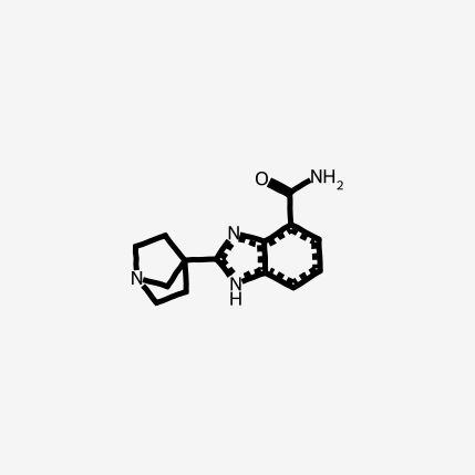 NC(=O)c1cccc2[nH]c(C34CCN(CC3)C4)nc12